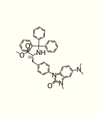 COC(=O)[C@H](Cc1ccc(-n2c(=O)n(C)c3cc(N(C)C)ccc32)cc1)NC(c1ccccc1)(c1ccccc1)c1ccccc1